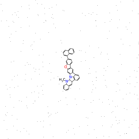 CN1C2C=CC=CC2=CC2c3cccc4c5cc6c(cc5n(c34)C21)oc1cc(-c2cccc3ccccc23)ccc16